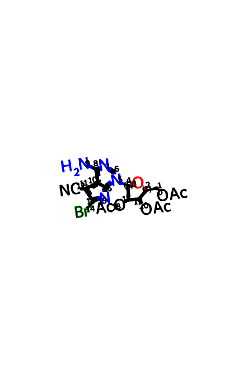 CC(=O)OC[C@@H]1O[C@H](n2cnc(N)c3c(C#N)c(Br)nc2-3)C(OC(C)=O)C1OC(C)=O